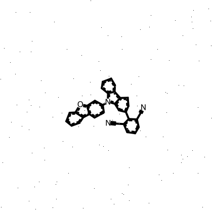 N#Cc1cccc(C#N)c1-c1ccc2c3ccccc3n(-c3ccc4c(c3)oc3ccccc34)c2c1